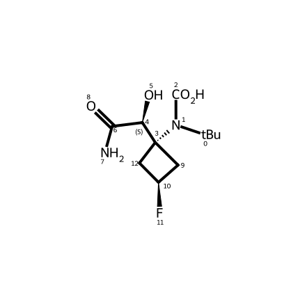 CC(C)(C)N(C(=O)O)[C@]1([C@H](O)C(N)=O)C[C@@H](F)C1